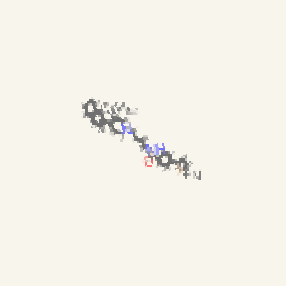 COc1c(C2CCN(CCCCNC(=O)c3ccc(-c4ccc(C#N)s4)cc3)CC2)ccc2c1CCCC2